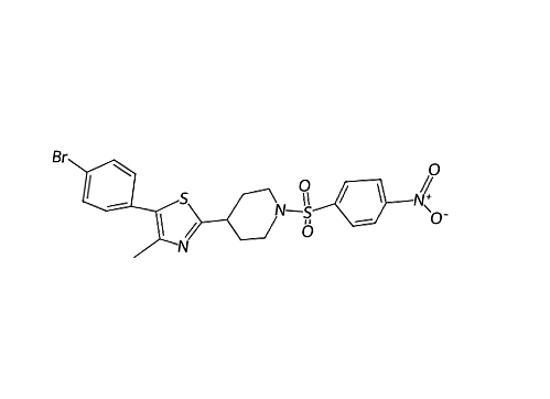 Cc1nc(C2CCN(S(=O)(=O)c3ccc([N+](=O)[O-])cc3)CC2)sc1-c1ccc(Br)cc1